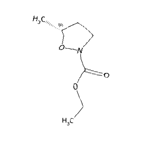 CCOC(=O)N1CC[C@@H](C)O1